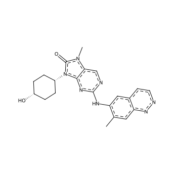 Cc1cc2nnccc2cc1Nc1ncc2c(n1)n([C@H]1CC[C@@H](O)CC1)c(=O)n2C